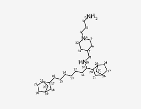 NCCCN1CCC(CNC(CCCCCCC2CC3CCC2C3)C2CC3CCC2C3)CC1